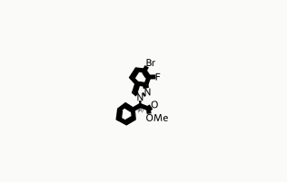 COC(=O)[C@@H](c1ccccc1)n1cc2ccc(Br)c(F)c2n1